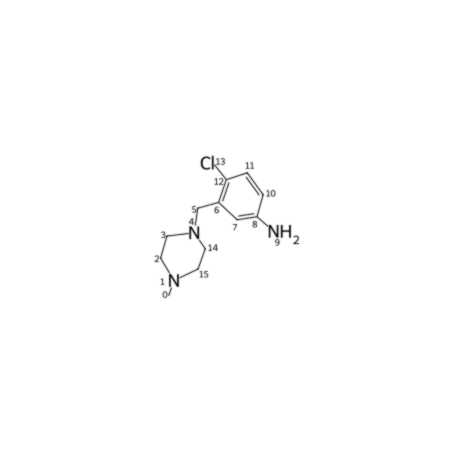 CN1CCN(Cc2cc(N)ccc2Cl)CC1